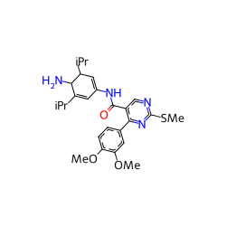 COc1ccc(-c2nc(SC)ncc2C(=O)NC2=CC(C(C)C)C(N)C(C(C)C)=C2)cc1OC